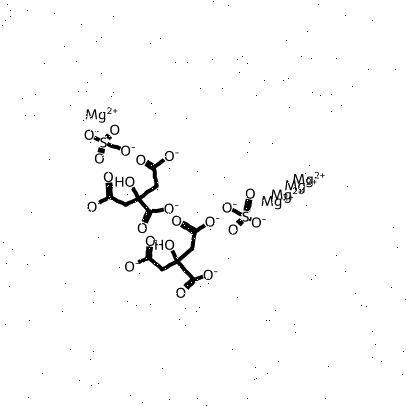 O=C([O-])CC(O)(CC(=O)[O-])C(=O)[O-].O=C([O-])CC(O)(CC(=O)[O-])C(=O)[O-].O=S(=O)([O-])[O-].O=S(=O)([O-])[O-].[Mg+2].[Mg+2].[Mg+2].[Mg+2].[Mg+2]